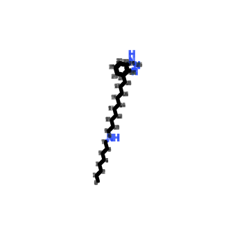 CCCCCCCCNCCCCCCCCCCc1cccc2[nH]nnc12